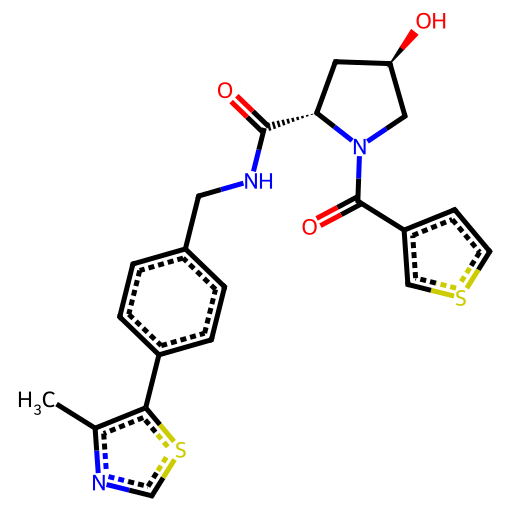 Cc1ncsc1-c1ccc(CNC(=O)[C@@H]2C[C@@H](O)CN2C(=O)c2ccsc2)cc1